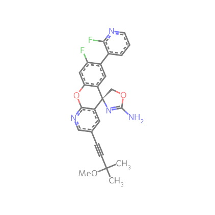 COC(C)(C)C#Cc1cnc2c(c1)[C@]1(COC(N)=N1)c1cc(-c3cccnc3F)c(F)cc1O2